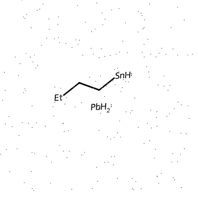 CCC[CH2][SnH].[PbH2]